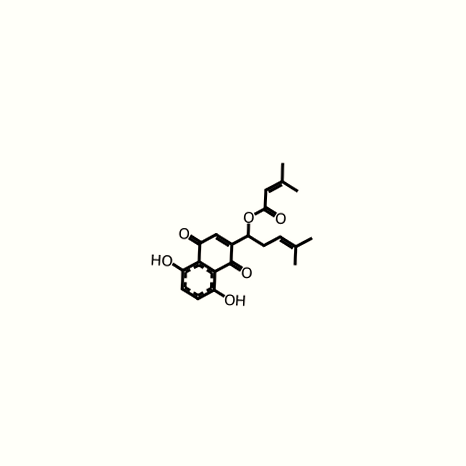 CC(C)=CCC(OC(=O)C=C(C)C)C1=CC(=O)c2c(O)ccc(O)c2C1=O